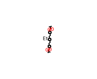 C=C(C)C(=O)Oc1ccc(CCc2ccc(CCc3ccc(OC(=O)C(=C)C)cc3)c(CC)c2)cc1